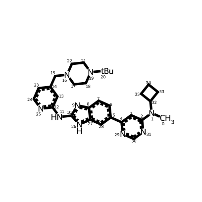 CN(c1cc(-c2ccc3nc(Nc4cc(CN5CCN(C(C)(C)C)CC5)ccn4)[nH]c3c2)ncn1)C1CCC1